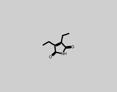 CCC1=C(CC)C(=O)NC1=O